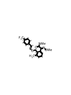 CNC(=O)/C(=N/OC)c1cccc(C)c1CO/N=C/c1ccc(C(F)(F)F)cc1